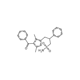 Cc1cc(CC(CS(N)(=O)=O)c2ccccc2)n(C)c1C(=O)c1ccccc1